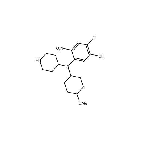 COC1CCC(N(c2cc(C)c(Cl)cc2[N+](=O)[O-])C2CCNCC2)CC1